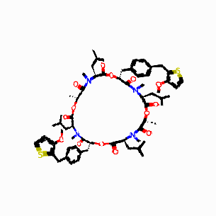 COc1ccsc1Cc1ccc(C[C@H]2OC(=O)[C@H](CC(C)C)N(C)C(=O)[C@@H](C)OC(=O)[C@H](CC(C)C)N(C)C(=O)[C@@H](Cc3ccc(Cc4sccc4OC)cc3)OC(=O)[C@H](CC(C)C)N(C)C(=O)[C@@H](C)OC(=O)[C@H](CC(C)C)N(C)C2=O)cc1